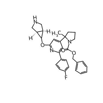 CC1(c2cc(OC3[C@H]4CNC[C@@H]34)nc(-c3ccc(F)cc3)c2)CCCN1C(=O)OCc1ccccc1